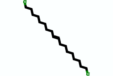 ClCCCCCCCCC=CCCCCCCCCCl